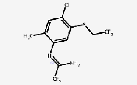 Cc1cc(Cl)c(SCC(F)(F)F)cc1/N=C(\N)C(F)(F)F